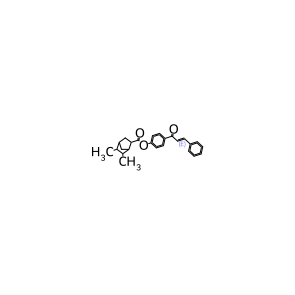 CC1C2CC(C(=O)Oc3ccc(C(=O)/C=C/c4ccccc4)cc3)C(C2)C1C